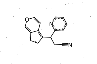 N#CCC(C1=C2C=COC=C2CC1)c1ccccn1